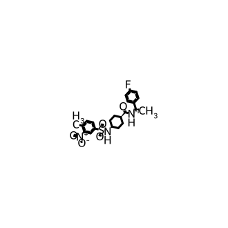 Cc1ccc(S(=O)(=O)N[C@H]2CC[C@H](C(=O)N[C@H](C)c3ccc(F)cc3)CC2)cc1[N+](=O)[O-]